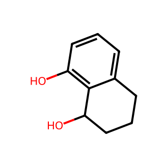 Oc1cccc2c1C(O)CCC2